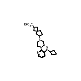 CCOC(=O)N1CC2(CC[C@@H](N3CCN(c4ncccc4N(C)C4CCC4)CC3)C2)C1